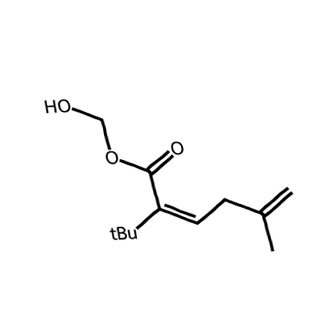 C=C(C)CC=C(C(=O)OCO)C(C)(C)C